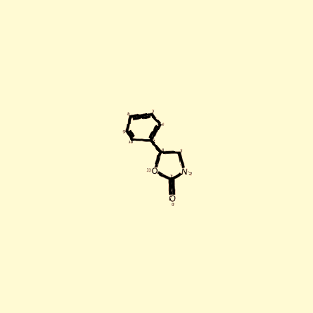 O=C1[N]CC(c2ccccc2)O1